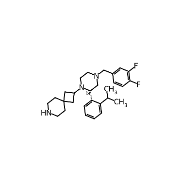 CC(C)c1ccccc1[C@H]1CN(Cc2ccc(F)c(F)c2)CCN1C1CC2(CCNCC2)C1